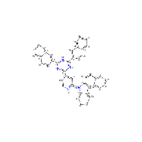 c1ccc2cc(-c3nc(-c4ccnc(-n5c6ccccc6c6c7ccccc7ccc65)c4)nc(-c4ccc5ccccc5c4)n3)ccc2c1